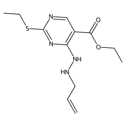 C=CCNNc1nc(SCC)ncc1C(=O)OCC